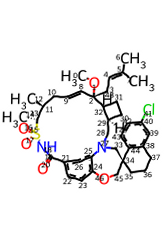 CO[C@@]1(CC=C(C)C)/C=C/C[C@H](C)[C@@H](C)S(=O)(=O)NC(=O)c2ccc3c(c2)N(C[C@@H]2CC[C@H]21)C[C@@]1(CCCc2cc(Cl)ccc21)CO3